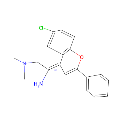 CN(C)C/C(N)=C1/C=C(c2ccccc2)Oc2ccc(Cl)cc21